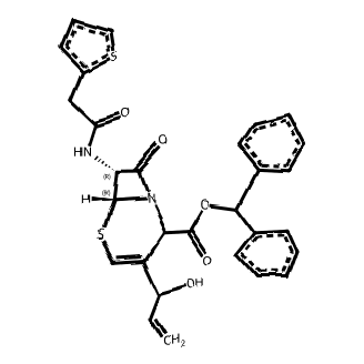 C=CC(O)C1=CS[C@@H]2[C@H](NC(=O)Cc3cccs3)C(=O)N2C1C(=O)OC(c1ccccc1)c1ccccc1